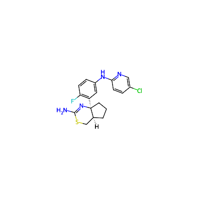 NC1=N[C@@]2(c3cc(Nc4ccc(Cl)cn4)ccc3F)CCC[C@H]2CS1